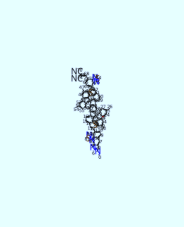 C=NCC(/C=N\C)=C/c1ccc(-c2cc3ccc4c(c3s2)C(c2ccc(C)cc2)(c2ccc(C)cc2)c2cc3c(cc2-4)C(c2ccc(C)cc2)(c2ccc(C)cc2)c2c-3ccc3cc(-c4ccc(C=C(C#N)C#N)c5nsnc45)sc23)c2nsnc12